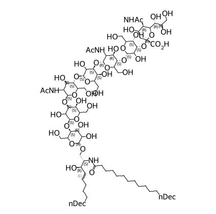 CCCCCCCCCCCCC/C=C/[C@@H](O)[C@H](CO[C@@H]1OC(CO)[C@@H](O[C@@H]2OC(CO)[C@H](O)[C@H](O[C@@H]3OC(CO)[C@@H](O[C@@H]4OC(CO)[C@H](O)[C@H](O[C@H]5OC(CO)[C@@H](O[C@@H]6OC(CO)[C@H](O)[C@H](O[C@]7(C(=O)O)CC(O)[C@@H](NC(C)=O)C([C@H](O)[C@H](O)CO)O7)C6O)[C@H](O)C5NC(C)=O)C4O)[C@H](O)C3NC(C)=O)C2O)[C@H](O)C1O)NC(=O)CCCCCCCCCCCCCCCCCCCCC